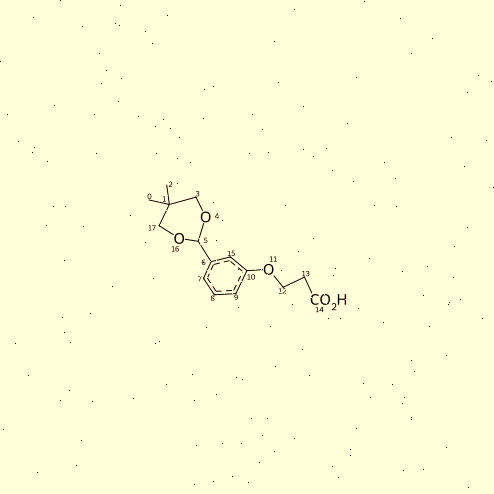 CC1(C)COC(c2cccc(OCCC(=O)O)c2)OC1